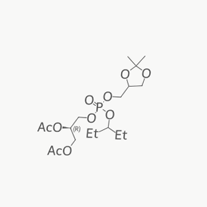 CCC(CC)OP(=O)(OCC1COC(C)(C)O1)OC[C@@H](COC(C)=O)OC(C)=O